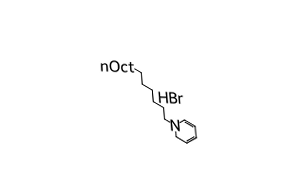 Br.CCCCCCCCCCCCCCN1C=CC=CC1